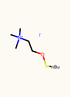 CCCCSOCC[N+](C)(C)C.[I-]